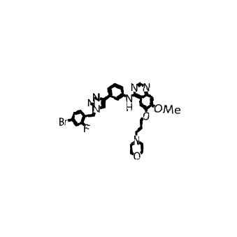 COc1cc2ncnc(Nc3cccc(-c4cn(Cc5ccc(Br)cc5F)nn4)c3)c2cc1OCCCN1CCOCC1